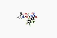 CCN(CC)CCO[C@@H](CO)CSc1c(-c2cc(Cl)c(F)cc2F)c(C(F)(F)F)cc2c(=O)[nH]c(=O)[nH]c12